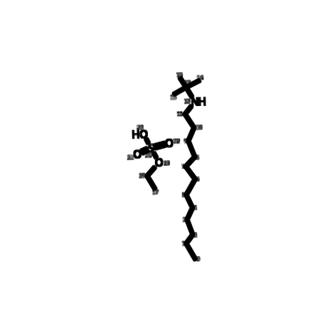 CCCCCCCCCCCCNC(C)(C)C.CCOS(=O)(=O)O